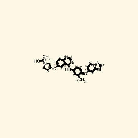 Cc1cc(Nc2ncnc3ccc(O[C@@H]4CCN(C(C)O)C4)cc23)ccc1Oc1ccn2ncnc2c1